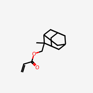 C=CC(=O)OCC1(C)C2CC3CC(C2)CC1C3